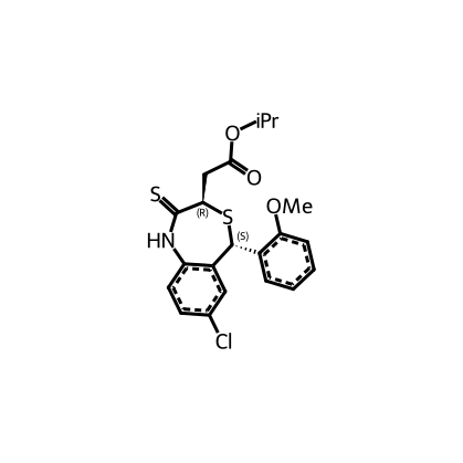 COc1ccccc1[C@H]1S[C@H](CC(=O)OC(C)C)C(=S)Nc2ccc(Cl)cc21